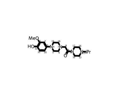 COc1cc(N2CCN(CC(=O)N3CCN(C(C)C)CC3)CC2)ccc1O